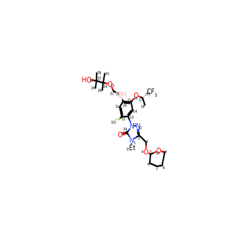 CCn1c(COC2CCCCO2)nn(-c2cc(O[C@@H](C)C(F)(F)F)c(BCOC(C)(C)C(C)(C)O)cc2F)c1=O